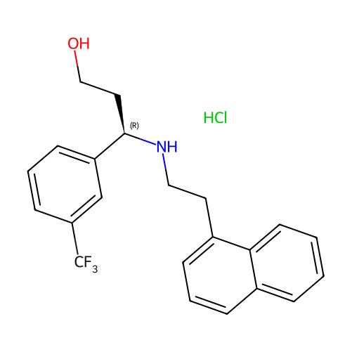 Cl.OCC[C@@H](NCCc1cccc2ccccc12)c1cccc(C(F)(F)F)c1